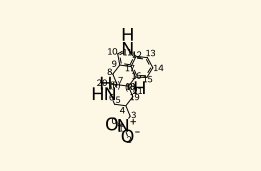 O=[N+]([O-])CC1CN[C@@H]2Cc3c[nH]c4cccc(c34)[C@H]2C1